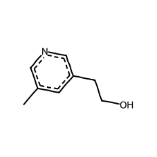 Cc1cncc(CCO)c1